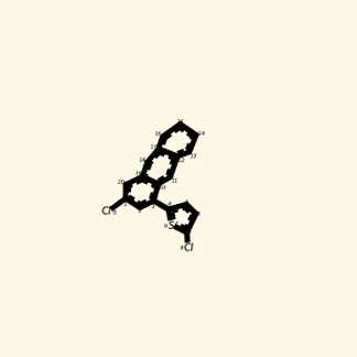 Clc1cc(-c2ccc(Cl)s2)c2cc3ccccc3cc2c1